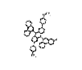 Fc1ccc2c(c1)cc(-c1c3ccc(-c4ccc(OC(F)(F)F)cc4)cc3c(-c3cc4ccccc4c4ccccc34)c3ccc(-c4ccc(C(F)(F)F)cc4)cc13)c1ccccc12